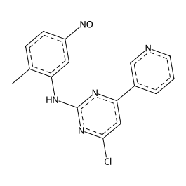 Cc1ccc(N=O)cc1Nc1nc(Cl)cc(-c2cccnc2)n1